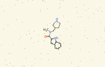 CN(CC1CCNCC1)C(=O)c1cc2ccccc2[nH]1